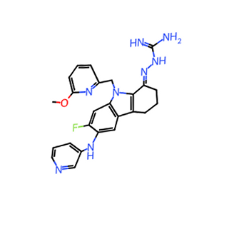 COc1cccc(Cn2c3c(c4cc(Nc5cccnc5)c(F)cc42)CCC/C3=N\NC(=N)N)n1